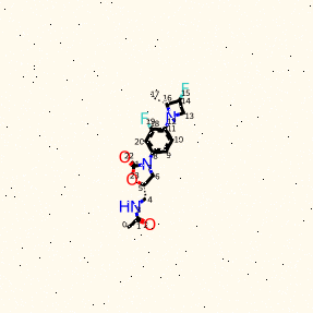 CC(=O)NC[C@H]1CN(c2ccc(N3CC(F)[C@H]3C)c(F)c2)C(=O)O1